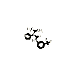 CC(C)N(C(=O)Nc1cccc(C(F)(F)F)c1)c1ccsc1